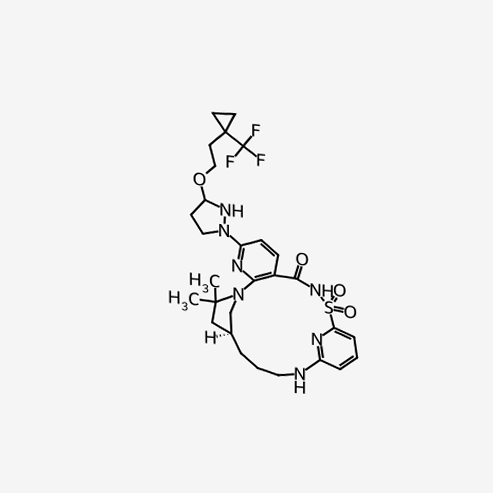 CC1(C)C[C@@H]2CCCNc3cccc(n3)S(=O)(=O)NC(=O)c3ccc(N4CCC(OCCC5(C(F)(F)F)CC5)N4)nc3N1C2